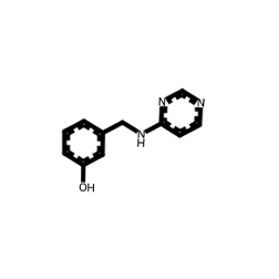 Oc1cccc(CNc2ccncn2)c1